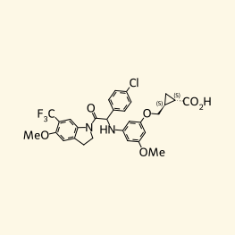 COc1cc(NC(C(=O)N2CCc3cc(OC)c(C(F)(F)F)cc32)c2ccc(Cl)cc2)cc(OC[C@H]2C[C@@H]2C(=O)O)c1